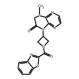 CN1CC(=O)N(C2CN(C(=O)c3nc4ccccc4s3)C2)c2nccnc21